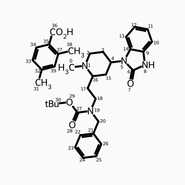 CN1CCC(n2c(=O)[nH]c3ccccc32)CC1CCN(Cc1ccccc1)C(=O)OC(C)(C)C.Cc1ccc(C(=O)O)c(C)c1